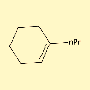 C[CH]CC1=CCCCC1